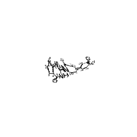 Cn1ccc2c(=O)[nH]c(N3CCN(c4ccc(Cl)c(Cl)c4)CC3)nc21